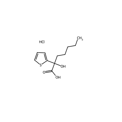 CCCCCC(O)(C(=O)O)c1cccs1.Cl